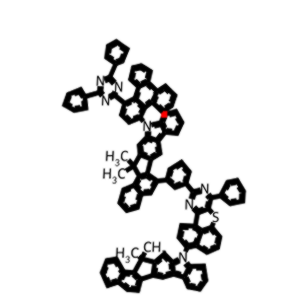 CC1(C)c2cc3c(cc2-c2ccc4ccccc4c21)c1ccccc1n3-c1ccc2c3c(cccc13)Sc1c(-c3ccccc3)nc(-c3cccc(-c4cc5ccccc5c5c4-c4cc6c7ccccc7n(-c7ccc(-c8nc(-c9ccccc9)nc(-c9ccccc9)n8)c8c9ccccc9c9ccccc9c78)c6cc4C5(C)C)c3)nc1-2